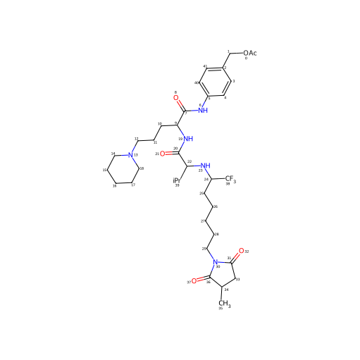 CC(=O)OCc1ccc(NC(=O)C(CCCN2CCCCC2)NC(=O)C(NC(CCCCCN2C(=O)CC(C)C2=O)C(F)(F)F)C(C)C)cc1